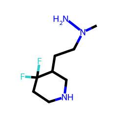 CN(N)CCC1CNCCC1(F)F